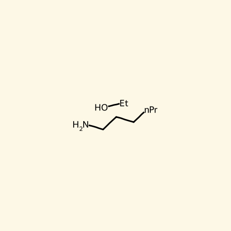 CCCCCCN.CCO